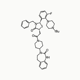 CC(C)(C)N1CCN(c2c(F)cccc2[C@H]2S[C@@H](CC(=O)N3CCC(N4CCc5ccccc5NC4=O)CC3)C(=O)N2Cc2ccccc2)CC1